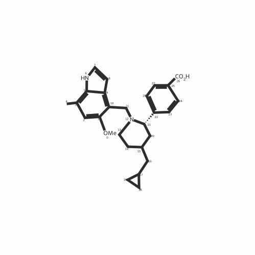 COc1cc(C)c2[nH]ccc2c1CN1CCC(CC2CC2)C[C@H]1c1ccc(C(=O)O)cc1